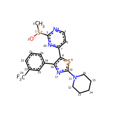 C[S+]([O-])c1nccc(-c2sc(N3CCCCC3)nc2-c2cccc(C(F)(F)F)c2)n1